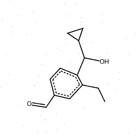 CCc1cc(C=O)ccc1C(O)C1CC1